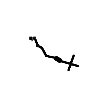 C[Si](C)(C)C#CCCO[SiH3]